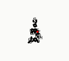 CCOP(=O)(Cc1ccc(Nc2ncc(C(F)(F)F)c(Nc3ccc([C@H]4CC[C@@H](N5CCN(C)CC5)CC4)c4c3C(=O)N(C)C4)n2)c(OC)c1)OCC